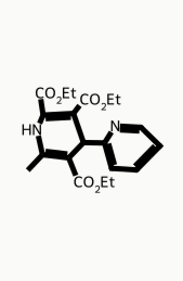 CCOC(=O)C1=C(C(=O)OCC)C(c2ccccn2)C(C(=O)OCC)=C(C)N1